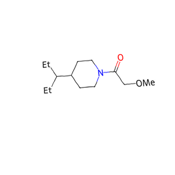 CCC(CC)C1CCN(C(=O)COC)CC1